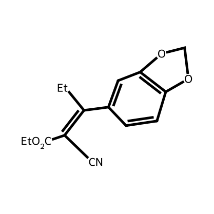 CCOC(=O)C(C#N)=C(CC)c1ccc2c(c1)OCO2